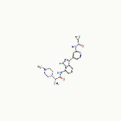 CC(C(=O)Nc1cccc2c(-c3ccnc(NC(=O)C4CC4)c3)c[nH]c12)N1CCN(C)CC1